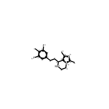 Cc1c(F)cc(CCC2NCCn3c(C)nc(I)c32)cc1F